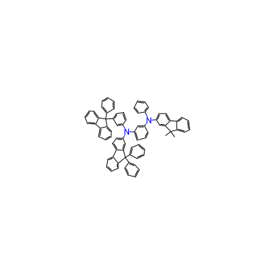 CC1(C)c2ccccc2-c2ccc(N(c3ccccc3)c3cccc(N(c4cccc(C5(c6ccccc6)c6ccccc6-c6ccccc65)c4)c4ccc5c(c4)C(c4ccccc4)(c4ccccc4)c4ccccc4-5)c3)cc21